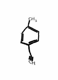 C#Cc1c[c]c(C)cc1